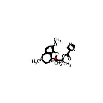 C=C[C@@]12CCN(C)Cc3ccc(OC)c(c31)OC2C[C@H](C)OC(=O)c1cncs1